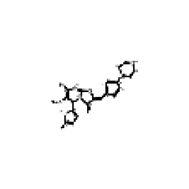 CCCC1=C(C(=O)O)C(c2ccc(C)o2)n2c(s/c(=C\c3ccc(N4CCOCC4)cc3)c2=O)=N1